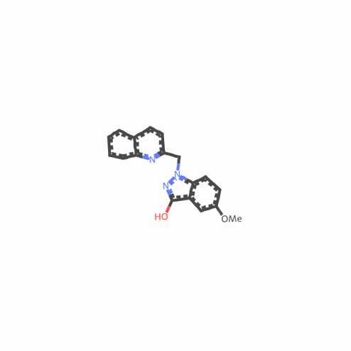 COc1ccc2c(c1)c(O)nn2Cc1ccc2ccccc2n1